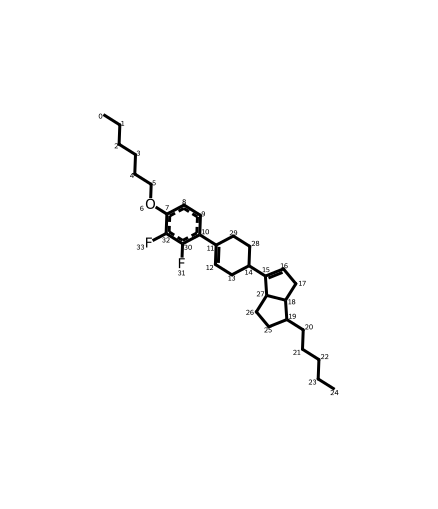 CCCCCCOc1ccc(C2=CCC(C3=CCC4C(CCCCC)CCC34)CC2)c(F)c1F